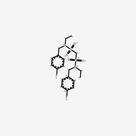 CCN(Cc1ccc(F)cc1)S(=O)(=O)CS(=O)(=O)N(CC)Cc1ccc(F)cc1